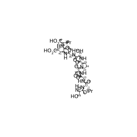 CC(C)C[C@H](NC(=O)[C@@H](N)CO)C(=O)NCC(=O)N[C@@H](CO)C(=O)N1CCC[C@H]1C(=O)N[C@@H](CO)C(=O)NCC(=O)N[C@@H](CCC(=O)O)C(=O)N[C@H](C(=O)O)C(C)C